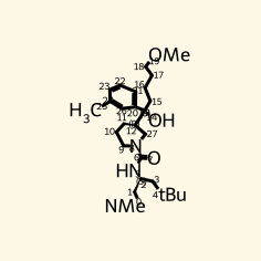 CNC[C@H](CC(C)(C)C)NC(=O)N1CCC[C@@H]([C@@](O)(CCCCOC)c2cccc(C)c2)C1